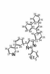 C/C=C\C(=C/CC)c1nc(-c2cccc(-c3cccnc3)c2)cc(-c2cccc(-c3cc4ccccc4c4ccccc34)c2)n1